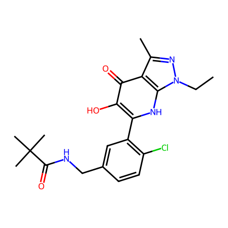 CCn1nc(C)c2c(=O)c(O)c(-c3cc(CNC(=O)C(C)(C)C)ccc3Cl)[nH]c21